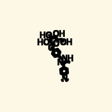 Cc1[nH]c(-c2ccc(O[C@@H]3O[C@H](CO)[C@H](O)[C@H](O)[C@H]3O)cc2)nc1-c1ccc(N(C)C)cc1